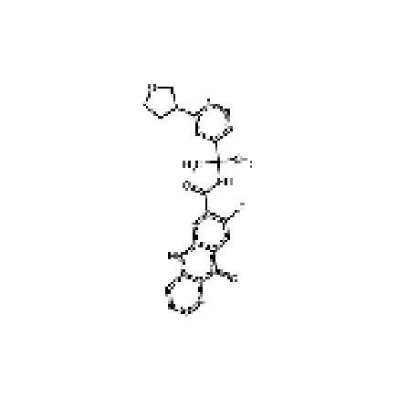 CC(C)(NC(=O)c1cc2[nH]c3ccccc3c(=O)c2cc1F)c1ccnc(C2CCOC2)c1